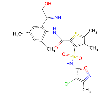 Cc1cc(C)c(NC(=O)c2sc(C)c(C)c2S(=O)(=O)Nc2onc(C)c2Cl)c(C(=N)CO)c1